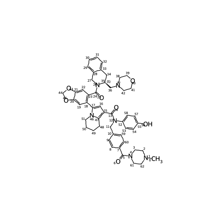 CN1CCN(C(=O)c2ccc(CN(C(=O)c3cc(-c4cc5c(cc4C(=O)N4Cc6ccccc6C[C@H]4CN4CCOCC4)OCO5)n4c3CCCC4)c3ccc(O)cc3)cc2)CC1